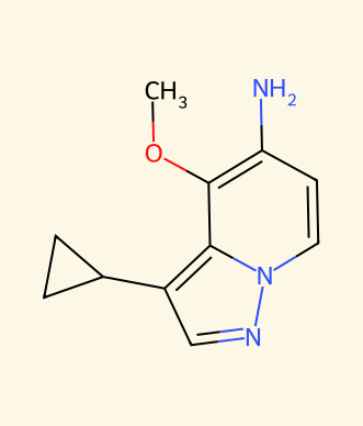 COc1c(N)ccn2ncc(C3CC3)c12